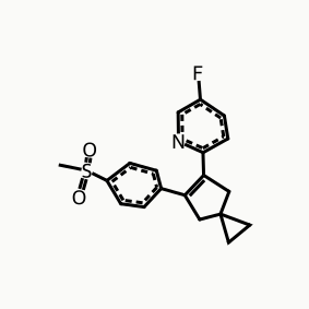 CS(=O)(=O)c1ccc(C2=C(c3ccc(F)cn3)CC3(CC3)C2)cc1